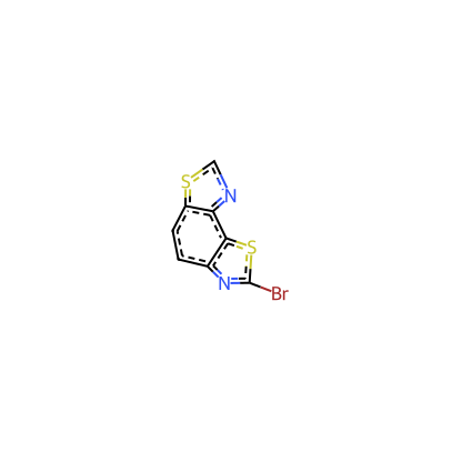 Brc1nc2ccc3scnc3c2s1